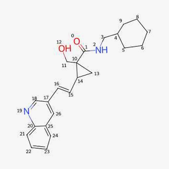 O=C(NCC1CCCCC1)C1(CO)CC1C=Cc1cnc2ccccc2c1